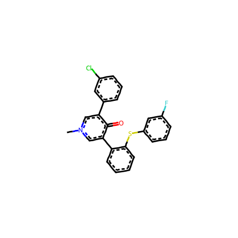 Cn1cc(-c2cccc(Cl)c2)c(=O)c(-c2ccccc2Sc2cccc(F)c2)c1